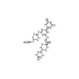 CC(=O)NCC1CCN(Cc2cc(COC(=O)N3CCC(C4CCNCC4)CC3)cc(-c3cc(C)cc(Cl)c3)c2)CC1